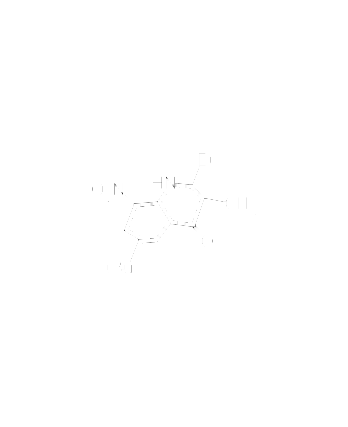 CCc1[nH]c2c([N+](=O)[O-])cc(C(C)(C)C)cc2c(=O)c1C